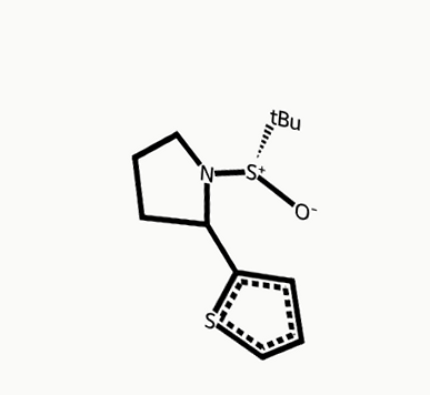 CC(C)(C)[S@+]([O-])N1CCCC1c1cccs1